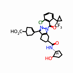 O=C(O)C1CC=C(c2nn(C(=O)c3c(Cl)cccc3C3(C(F)(F)F)CC3)c3c2CCC(C(=O)N[C@@H]2CCCC2O)C3)CC1